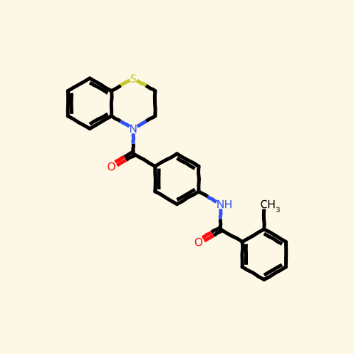 Cc1ccccc1C(=O)Nc1ccc(C(=O)N2CCSc3ccccc32)cc1